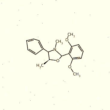 COc1cccc(OC)c1C1O[C@@H](C)C(c2ccccc2)N1C